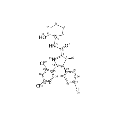 C[C@@H]1C(C(=O)NN2CCCCC2O)=NN(c2ccc(Cl)cc2Cl)[C@@H]1c1ccc(Cl)cc1